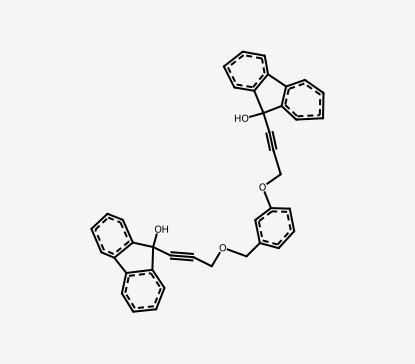 OC1(C#CCOCc2cccc(OCC#CC3(O)c4ccccc4-c4ccccc43)c2)c2ccccc2-c2ccccc21